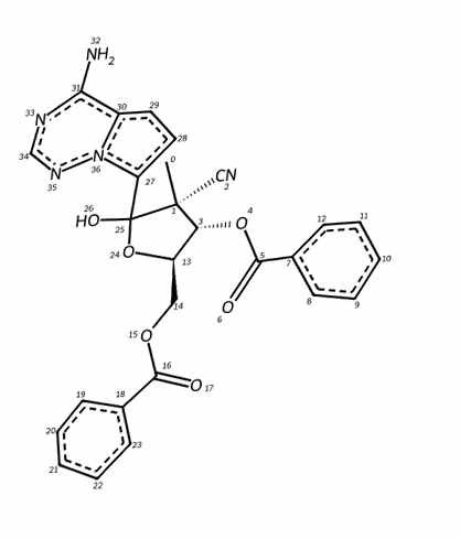 C[C@@]1(C#N)[C@H](OC(=O)c2ccccc2)[C@@H](COC(=O)c2ccccc2)OC1(O)c1ccc2c(N)ncnn12